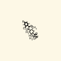 C[C@@H]1CN(C(=O)[C@@](C)(O)C(F)(F)F)CC[C@@H]1N(C)C(=O)c1ccc(F)cc1Cl